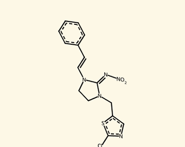 O=[N+]([O-])N=C1N(C=Cc2ccccc2)CCN1Cc1cnc(Cl)s1